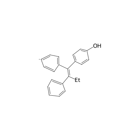 CCC(=C(c1cc[c]cc1)c1ccc(O)cc1)c1ccccc1